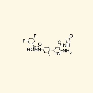 COC1CC(NC(=O)c2cc(-c3ccc(NC(=O)[C@@H](O)c4cc(F)cc(F)c4)cc3C)cnc2N)C1